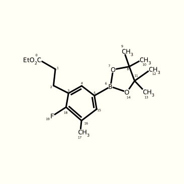 CCOC(=O)CCc1cc(B2OC(C)(C)C(C)(C)O2)cc(C)c1F